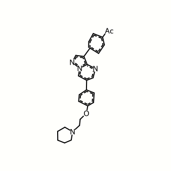 CC(=O)c1ccc(-c2cnn3cc(-c4ccc(OCCN5CCCCC5)cc4)cnc23)cc1